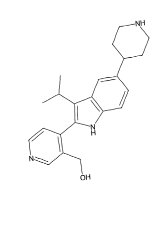 CC(C)c1c(-c2ccncc2CO)[nH]c2ccc(C3CCNCC3)cc12